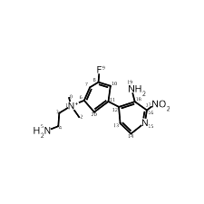 C[N+](C)(CCN)c1cc(F)cc(-c2ccnc([N+](=O)[O-])c2N)c1